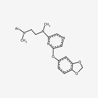 CC(=O)N(C)CCN(C)c1cncc(Oc2ccc3c(c2)OCO3)n1